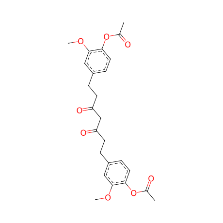 COc1cc(CCC(=O)CC(=O)CCc2ccc(OC(C)=O)c(OC)c2)ccc1OC(C)=O